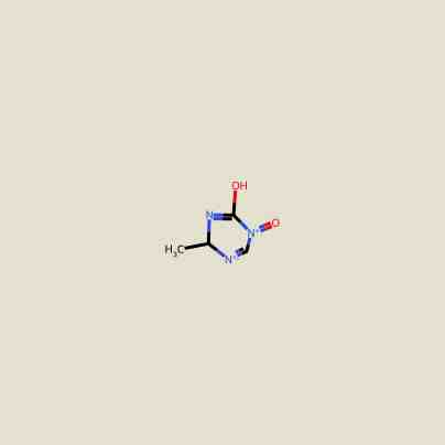 CC1N=C(O)[N+](=O)C=[N+]1